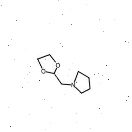 C1CCN(CC2OCCO2)C1